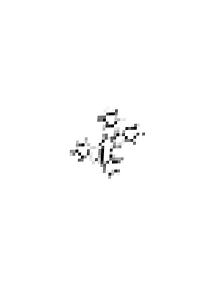 c1ccc(Cn2c3ccccc3c3cc(N(c4ccccc4)c4ccccc4)ccc32)cc1